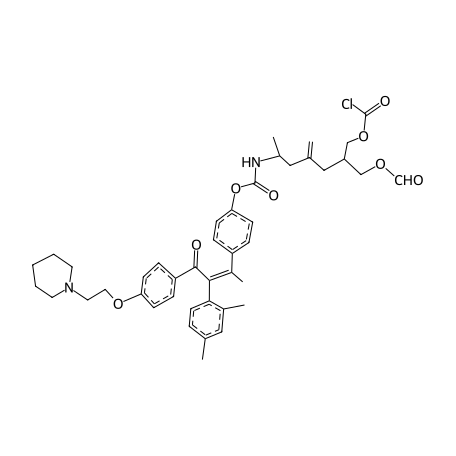 C=C(CC(COC=O)COC(=O)Cl)CC(C)NC(=O)Oc1ccc(/C(C)=C(\C(=O)c2ccc(OCCN3CCCCC3)cc2)c2ccc(C)cc2C)cc1